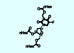 CCCCCCC(=O)OC[C@H]1O[C@@H](n2cc(F)c(=O)n(COC(=O)CCCCCC)c2=O)C[C@@H]1OC(=O)CCCCCC